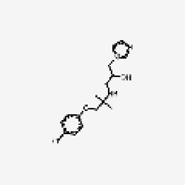 CC(C)(COc1ccc(Cl)cc1)NCC(O)Cn1ccnc1